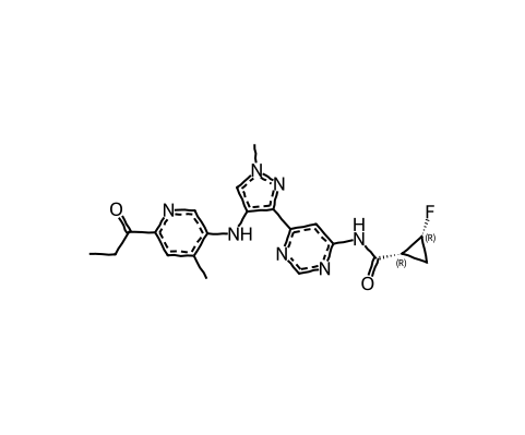 CCC(=O)c1cc(C)c(Nc2cn(C)nc2-c2cc(NC(=O)[C@H]3C[C@H]3F)ncn2)cn1